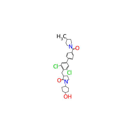 CC1CCN(C(=O)c2ccc(-c3cc(Cl)c(CC4CCN(C5CCC(O)CC5)C4=O)c(Cl)c3)cc2)CC1